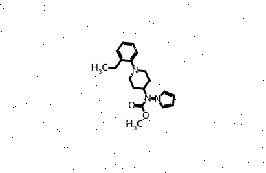 CCc1ccccc1N1CCC(N(C(=O)OC)n2cccc2)CC1